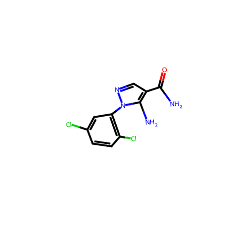 NC(=O)c1cnn(-c2cc(Cl)ccc2Cl)c1N